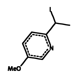 COc1ccc(C(C)I)nc1